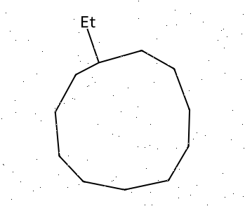 CCC1CCCCCCCCCC1